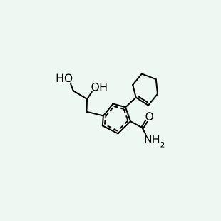 NC(=O)c1ccc(CC(O)CO)cc1C1=CCCCC1